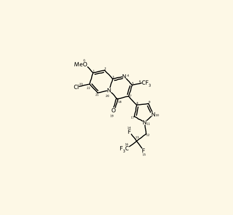 COc1cc2nc(C(F)(F)F)c(-c3cnn(CC(F)(F)C(F)(F)F)c3)c(=O)n2cc1Cl